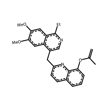 C=C(C)Oc1cccc2ccc(Cc3cnc(CC)c4cc(OC)c(OC)cc34)nc12